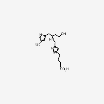 CC(C)(C)n1cc(CC(CCO)NCc2cn(CCCCC(=O)O)nn2)nn1